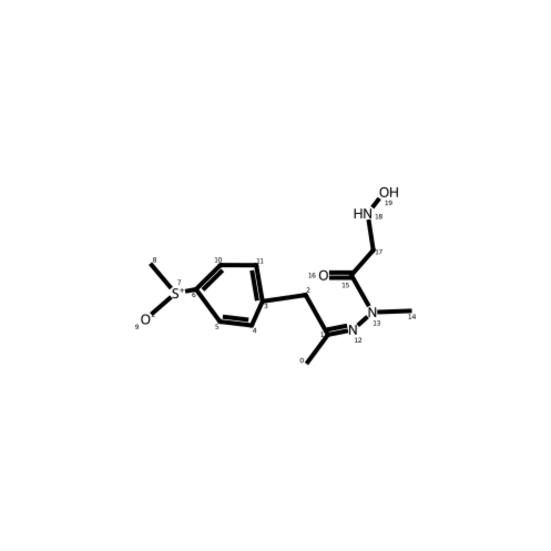 C/C(Cc1ccc([S+](C)[O-])cc1)=N/N(C)C(=O)CNO